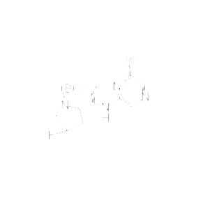 CC(C)(C)N1C[C@](C)(F)C[C@H]1C(=O)Nc1cncc(Br)n1